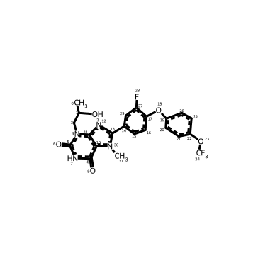 CC(O)Cn1c(=O)[nH]c(=O)c2c1nc(-c1ccc(Oc3ccc(OC(F)(F)F)cc3)c(F)c1)n2C